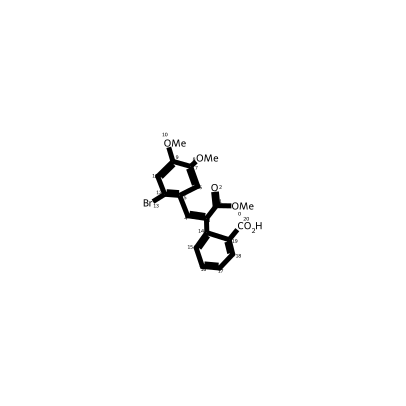 COC(=O)C(=Cc1cc(OC)c(OC)cc1Br)c1ccccc1C(=O)O